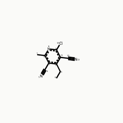 CCc1c(C#N)c(C)nc(Cl)c1C#N